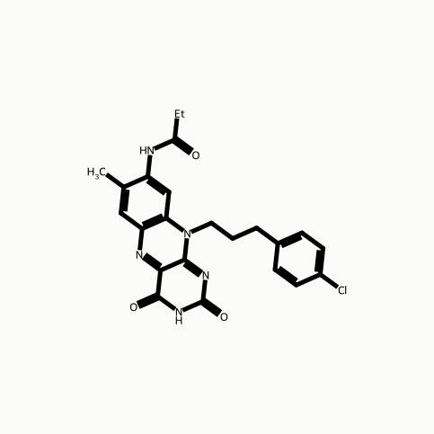 CCC(=O)Nc1cc2c(cc1C)nc1c(=O)[nH]c(=O)nc-1n2CCCc1ccc(Cl)cc1